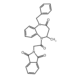 CC1CC(=O)N(Cc2ccccc2)c2ccccc2N1C(=O)CN1C(=O)c2ccccc2C1=O